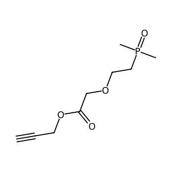 C#CCOC(=O)COCCP(C)(C)=O